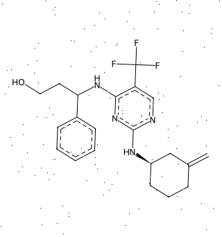 C=C1CCC[C@@H](Nc2ncc(C(F)(F)F)c(NC(CCO)c3ccccc3)n2)C1